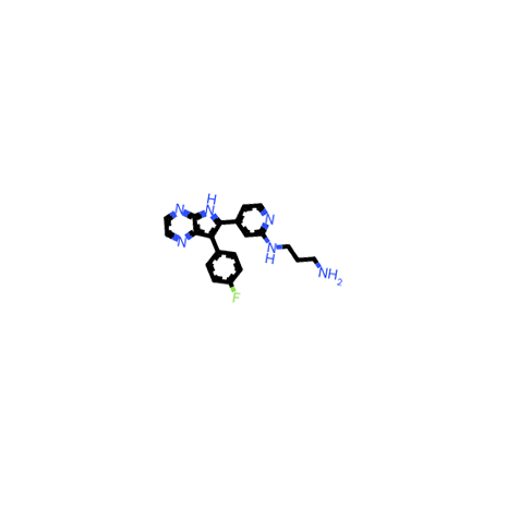 NCCCNc1cc(-c2[nH]c3nccnc3c2-c2ccc(F)cc2)ccn1